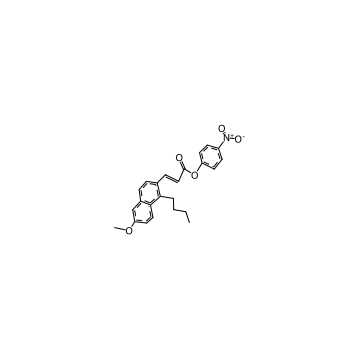 CCCCc1c(C=CC(=O)Oc2ccc([N+](=O)[O-])cc2)ccc2cc(OC)ccc12